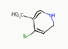 O=C(O)C1=CNCC=C1Br